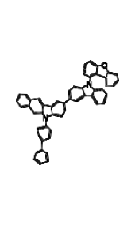 c1ccc(-c2ccc(-n3c4ccc(-c5ccc6c(c5)c5ccccc5n6-c5cccc6oc7ccccc7c56)cc4c4cc5ccccc5cc43)cc2)cc1